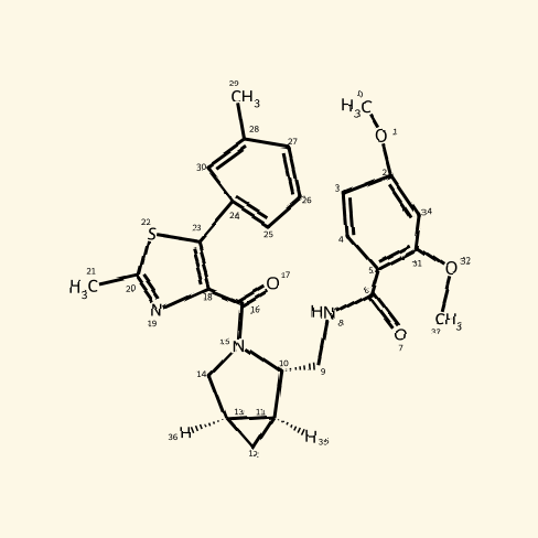 COc1ccc(C(=O)NC[C@@H]2[C@H]3C[C@H]3CN2C(=O)c2nc(C)sc2-c2cccc(C)c2)c(OC)c1